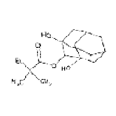 CCC(C)(C)C(=O)OC1C2(O)CC3CC(C2)CC1(O)C3